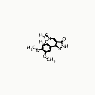 COc1ccc(C2=NNC(=O)/C2=C/N(C)C)cc1OC